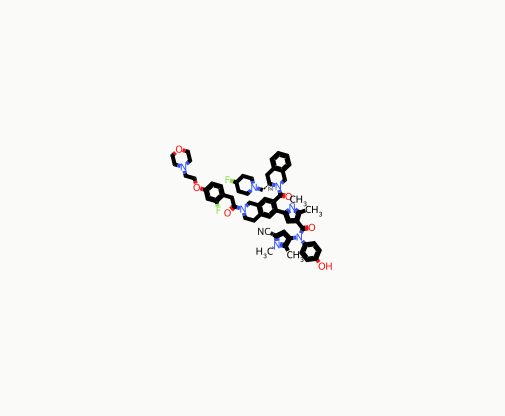 Cc1c(N(C(=O)c2cc(-c3cc4c(cc3C(=O)N3Cc5ccccc5C[C@H]3CN3CCC(F)CC3)CN(C(=O)Cc3ccc(OCCN5CCOCC5)cc3F)CC4)n(C)c2C)c2ccc(O)cc2)cc(C#N)n1C